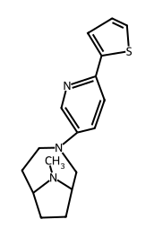 CN1C2CCC1CN(c1ccc(-c3cccs3)nc1)CC2